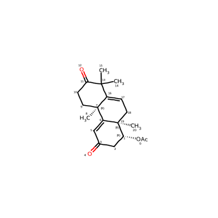 CC(=O)O[C@@H]1CC(=O)C=C2[C@@]3(C)CCC(=O)C(C)(C)C3=CC[C@]21C